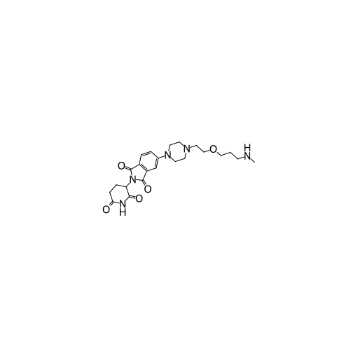 CNCCCOCCN1CCN(c2ccc3c(c2)C(=O)N(C2CCC(=O)NC2=O)C3=O)CC1